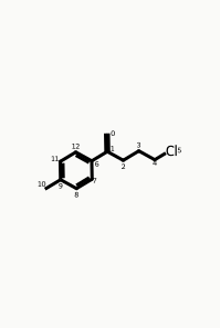 C=C(CCCCl)c1ccc(C)cc1